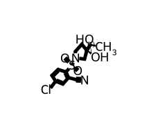 C[C@H](O)[C@@]1(O)CCN(S(=O)(=O)c2ccc(Cl)cc2C#N)C1